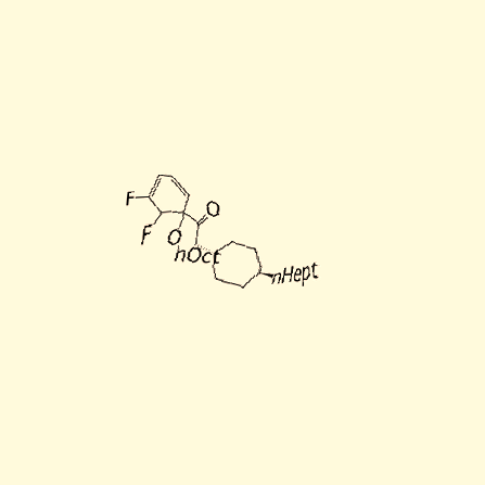 CCCCCCCCOC1(C(=O)C[C@H]2CC[C@H](CCCCCCC)CC2)C=CC=C(F)C1F